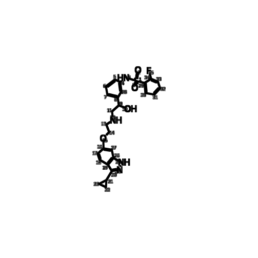 O=S(=O)(Nc1cccc(C(O)CNCCOc2ccc3c(C4CC4)n[nH]c3c2)c1)c1ccccc1F